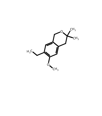 CCc1cc2c(cc1OC)CC(C)(C)OC2